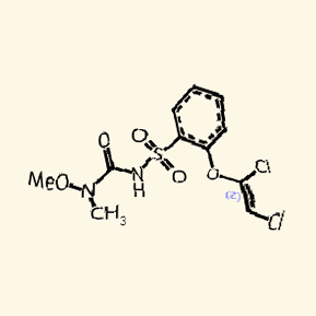 CON(C)C(=O)NS(=O)(=O)c1ccccc1O/C(Cl)=C/Cl